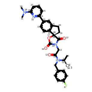 C[C@H](N(Cc1ccc(F)cc1)C(=O)CN1C(=O)O[C@@]2(CCc3cc(-c4cccc(N(C)C)n4)ccc32)C1=O)C(F)(F)F